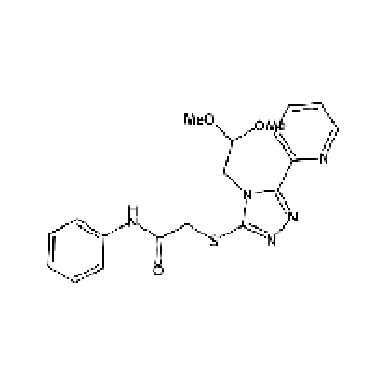 COC(Cn1c(SCC(=O)Nc2ccccc2)nnc1-c1ccccn1)OC